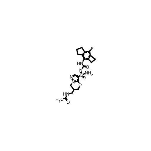 CC(=O)NCC1COc2c(S(N)(=O)=NC(=O)Nc3c4c(c(F)c5c3CC5)CCC4)cnn2C1